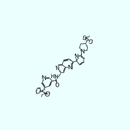 CS(=O)(=O)c1cncc(C(=O)NCc2cc3nc(-c4cccc(N5CCC(S(C)(=O)=O)CC5)n4)ccc3cn2)c1